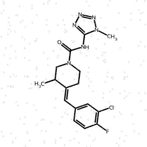 CC1CN(C(=O)Nc2nnnn2C)CCC1=Cc1ccc(F)c(Cl)c1